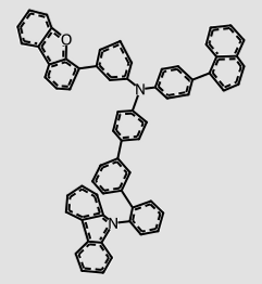 c1cc(-c2ccc(N(c3ccc(-c4cccc5ccccc45)cc3)c3cccc(-c4cccc5c4oc4ccccc45)c3)cc2)cc(-c2ccccc2-n2c3ccccc3c3ccccc32)c1